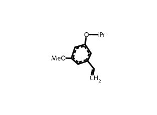 C=Cc1cc(OC)cc(OC(C)C)c1